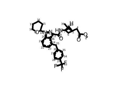 COC(=O)CC12CC(NC(=O)c3nn(C4CCCCO4)c4cccc(Cc5ccc(C(F)(F)F)cc5)c34)(C1)[C@H]2C